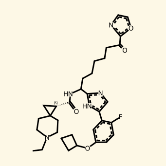 CCN1CCC2(CC1)C[C@@H]2C(=O)NC(CCCCCC(=O)c1ncco1)c1ncc(-c2cc(OC3CCC3)ccc2F)[nH]1